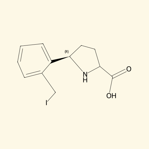 O=C(O)C1CC[C@H](c2ccccc2CI)N1